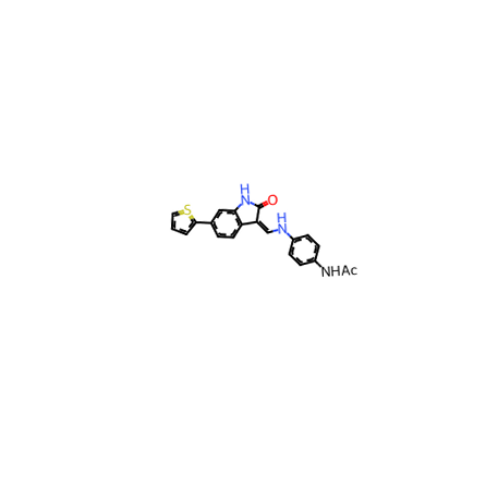 CC(=O)Nc1ccc(N/C=C2\C(=O)Nc3cc(-c4cccs4)ccc32)cc1